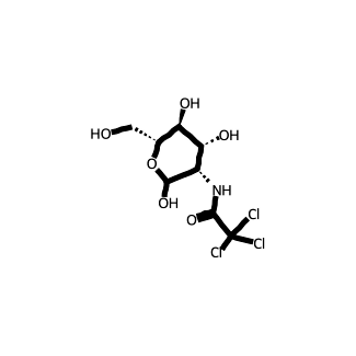 O=C(N[C@@H]1C(O)O[C@H](CO)[C@@H](O)[C@@H]1O)C(Cl)(Cl)Cl